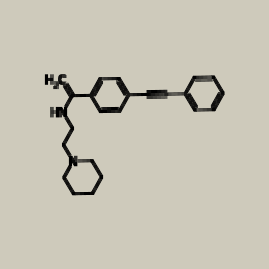 C=C(NCCN1CCCCC1)c1ccc(C#Cc2ccccc2)cc1